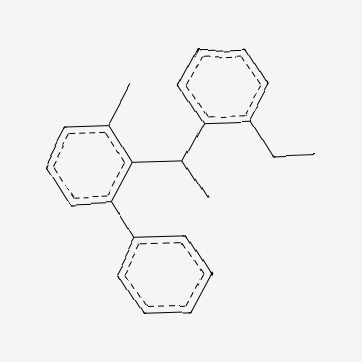 CCc1ccccc1C(C)c1c(C)cccc1-c1ccccc1